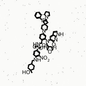 CC(C)c1ccccc1[C@@H]1CCCN1C1CC2(CCN(c3ccc(C(=O)NS(=O)(=O)c4ccc(NCC5CCC(C)(O)CC5)c([N+](=O)[O-])c4)c(N4C[C@@H]5COC[C@H]5Oc5nc6[nH]ccc6cc54)c3)CC2)C1